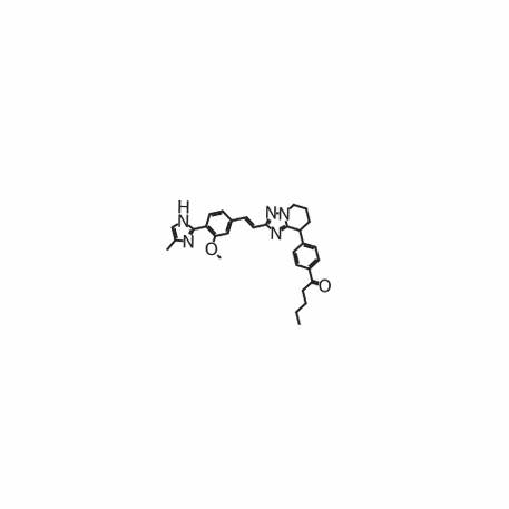 CCCCC(=O)c1ccc(C2CCCn3nc(C=Cc4ccc(-c5nc(C)c[nH]5)c(OC)c4)nc32)cc1